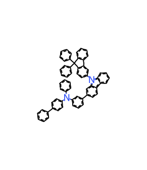 c1ccc(-c2ccc(N(c3ccccc3)c3cccc(-c4ccc5c6ccccc6n(-c6ccc7c(c6)-c6ccccc6C7(c6ccccc6)c6ccccc6)c5c4)c3)cc2)cc1